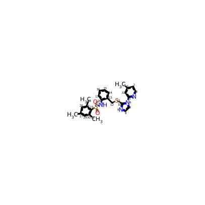 Cc1ccnc(-n2ccnc2SCc2ccccc2NS(=O)(=O)c2c(C)cc(C)cc2C)c1